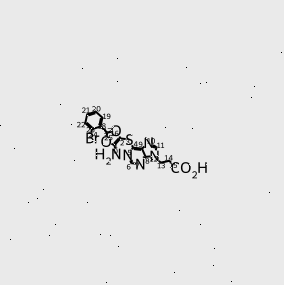 NC1=C(Sc2ncnc3c2ncn3CCC(=O)O)OC(c2ccccc2Br)O1